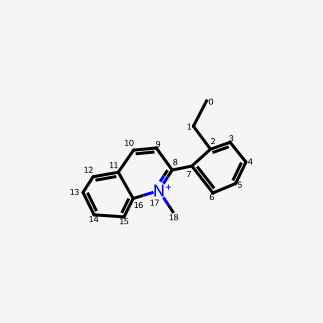 CCc1ccccc1-c1ccc2ccccc2[n+]1C